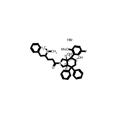 Br.COc1ccc(F)cc1[C@@]1(O)[C@H](O)CC(c2ccccc2)(c2ccccc2)[C@@H]2CN(C(=O)CCC(Cc3ccccc3)N(C)C)C[C@@H]21